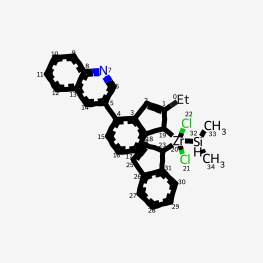 CCC1=Cc2c(-c3cnc4ccccc4c3)cccc2[CH]1[Zr]([Cl])([Cl])([CH]1C=Cc2ccccc21)[SiH](C)C